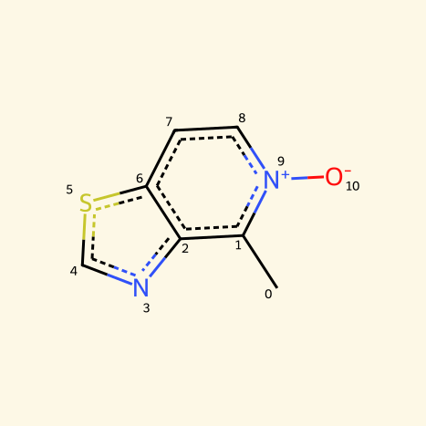 Cc1c2ncsc2cc[n+]1[O-]